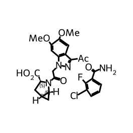 COc1cc2c(C(C)=O)nn(CC(=O)N3[C@@H]4C[C@@H]4C[C@H]3C(=O)O)c2cc1OC.NC(=O)c1cccc(Cl)c1F